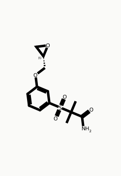 CC(C)(C(N)=O)S(=O)(=O)c1cccc(OC[C@@H]2CO2)c1